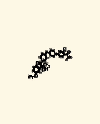 CC(C)Oc1cccc(C(O)(C(=O)N2CCC(CC3CCN(c4ccc(C(=O)N(C)C)c(Cl)n4)CC3)CC2)C(F)(F)F)c1